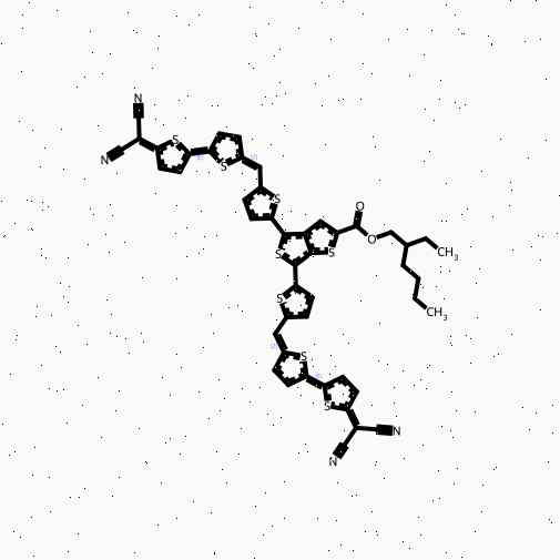 CCCCC(CC)COC(=O)c1cc2c(-c3ccc(/C=c4/cc/c(=c5/ccc(=C(C#N)C#N)s5)s4)s3)sc(-c3ccc(/C=c4/cc/c(=c5/ccc(=C(C#N)C#N)s5)s4)s3)c2s1